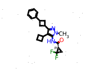 Cn1nc(C2CC(c3ccccc3)C2)c(C2CCC2)c1NC(=O)[C@H]1CC1(F)F